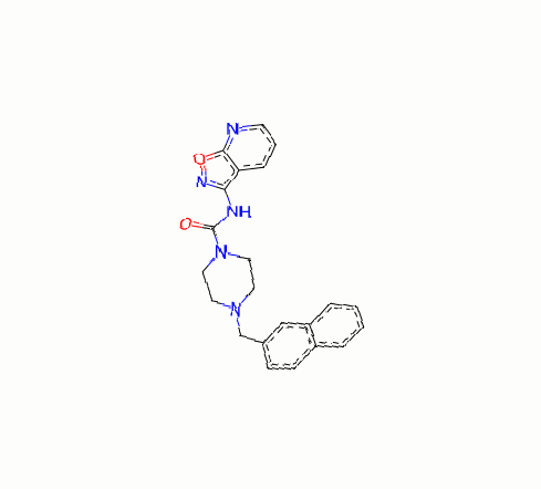 O=C(Nc1noc2ncccc12)N1CCN(Cc2ccc3ccccc3c2)CC1